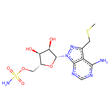 CSCc1nn([C@@H]2O[C@H](COS(N)(=O)=O)[C@@H](O)[C@H]2O)c2ncnc(N)c12